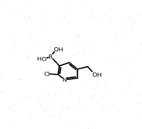 OCc1cnc(Cl)c(B(O)O)c1